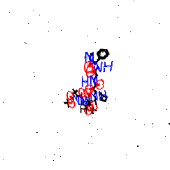 CN(C)C(=O)[C@@H](NC(=O)CNC(=O)C(=O)[C@H](CC1CCC1)NC(=O)[C@@H]1[C@H]2OC(C)(C)O[C@H]2CN1C(=O)[C@@H](NC(=O)OC(C)(C)C)C(C)(C)C)c1ccccc1